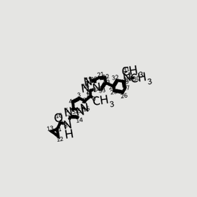 CC(c1ccc2nc(NC(=O)C3CC3)cn2n1)c1nnc2ccc(-c3cccc(N(C)C)c3)cn12